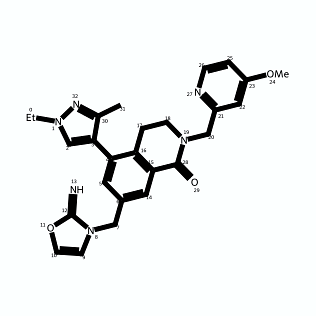 CCn1cc(-c2cc(Cn3ccoc3=N)cc3c2CCN(Cc2cc(OC)ccn2)C3=O)c(C)n1